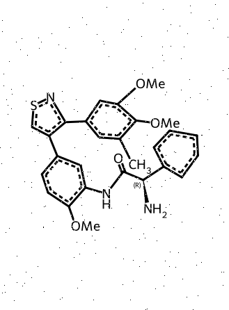 COc1ccc(-c2csnc2-c2cc(C)c(OC)c(OC)c2)cc1NC(=O)[C@H](N)c1ccccc1